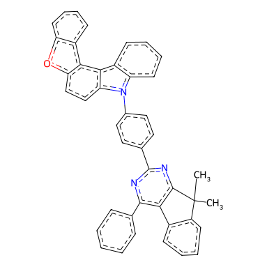 CC1(C)c2ccccc2-c2c(-c3ccccc3)nc(-c3ccc(-n4c5ccccc5c5c6c(ccc54)oc4ccccc46)cc3)nc21